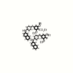 CCOC(=O)c1c(OCC)cc(CN2CCC(Nc3cnc4ccccc4c3)CC2)cc1OCC.CCOc1cc(CN2CCC(Nc3cnc4ccccc4c3)CC2)cc(OCC)c1F